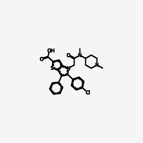 CN1CCC(N(C)C(=O)Cn2c(-c3ccc(Cl)cc3)c(-c3ccccc3)c3sc(C(=O)O)cc32)CC1